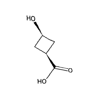 O=C(O)[C@H]1C[C@@H](O)C1